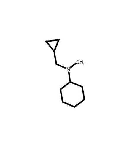 CN(CC1CC1)C1CCCCC1